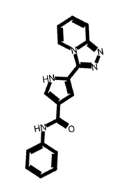 O=C(Nc1ccccc1)c1c[nH]c(-c2nnc3ccccn23)c1